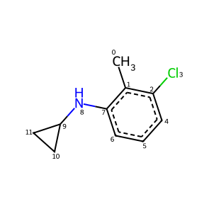 Cc1c(Cl)cccc1NC1CC1